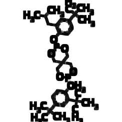 CC(C)Cc1cc(C(C)(C)C)ccc1OP1OCC2(CO1)COP(Oc1ccc(C(C)(C)C)cc1C(C)(C)C)OC2